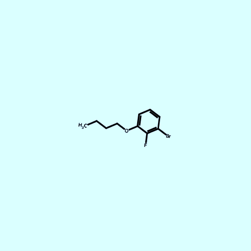 CCCCOc1cccc(Br)c1F